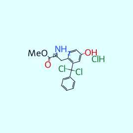 COC(=O)[C@@H](N)Cc1ccc(O)cc1C(Cl)(Cl)c1ccccc1.Cl